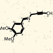 CC#CC/N=C/c1ccc(OC)c(OC)c1